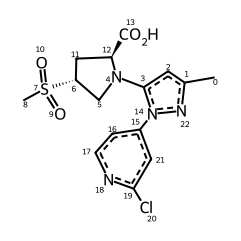 Cc1cc(N2C[C@H](S(C)(=O)=O)C[C@H]2C(=O)O)n(-c2ccnc(Cl)c2)n1